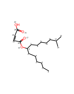 CCCCCCC(CCCCCC(C)C)OC(=O)/C=C\C(=O)O